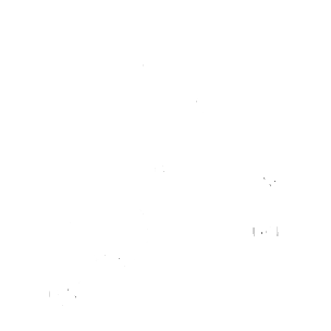 Cl.O=[N+]([O-])c1ccc(OC2CCNCC2c2ccccc2)cc1